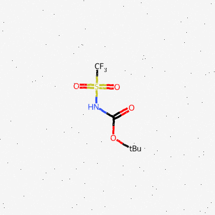 CC(C)(C)OC(=O)NS(=O)(=O)C(F)(F)F